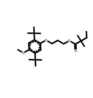 CCC(C)(C)C(=O)OCCCOc1cc(C(C)(C)C)c(OC)cc1C(C)(C)C